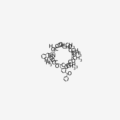 CC1CC(=O)C(C)(C)CC(=O)C(Cc2ccc3ccccc3c2)NC(=O)C(C)(C)CC(=O)C(Cc2ccc(C(=O)c3ccccc3)cc2)CC(=O)C(C)(C)CC(=O)C(C)C(=O)C(C)(C)CC1=O